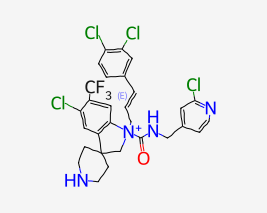 O=C(NCc1ccnc(Cl)c1)[N+]1(C/C=C/c2ccc(Cl)c(Cl)c2)CC2(CCNCC2)c2cc(Cl)c(C(F)(F)F)cc21